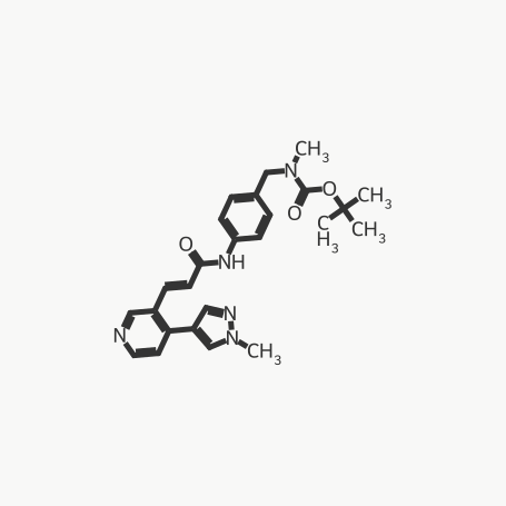 CN(Cc1ccc(NC(=O)/C=C/c2cnccc2-c2cnn(C)c2)cc1)C(=O)OC(C)(C)C